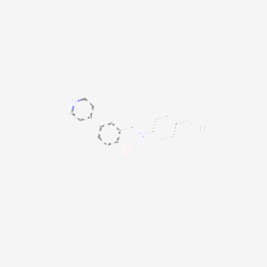 CCC1CCC(NCc2cc(-c3ccnc(F)c3)ccc2OC)CC1